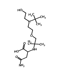 CC(C)(COCCN(CCO)C(C)(C)C)NC(CC(N)=O)C(=O)O